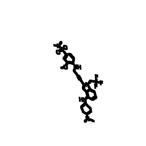 COc1cc(S(=O)(=O)N(C)C)ccc1NCC#Cc1cc2c(N[C@H]3CC[C@H](N(C)C)CC3)cccc2n1CC(F)(F)F